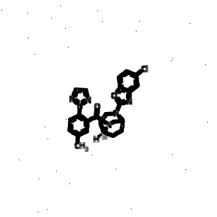 Cc1ccc(-n2nccn2)c(C(=O)N2CC3CC[C@H]2CCN3c2nc3cc(Cl)ccc3o2)c1